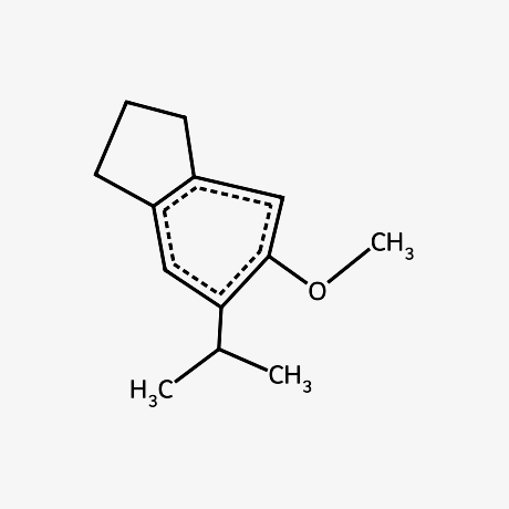 COc1cc2c(cc1C(C)C)CCC2